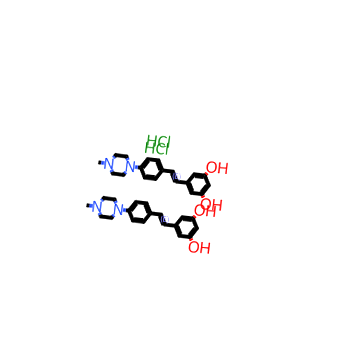 CN1CCN(c2ccc(/C=C/c3cc(O)cc(O)c3)cc2)CC1.CN1CCN(c2ccc(/C=C/c3cc(O)cc(O)c3)cc2)CC1.Cl.Cl